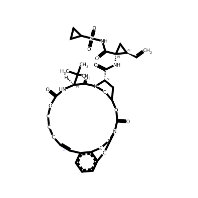 C=C[C@@H]1C[C@]1(NC(=O)[C@@H]1CC2CN1C(=O)[C@H](C(C)(C)C)NC(=O)OCCC/C=C\c1cccc3c1CCN(C3)C(=O)O2)C(=O)NS(=O)(=O)C1CC1